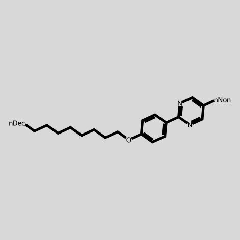 CCCCCCCCCCCCCCCCCCOc1ccc(-c2ncc(CCCCCCCCC)cn2)cc1